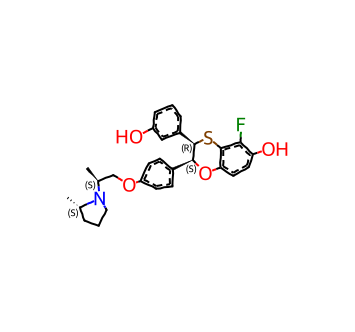 C[C@H]1CCCN1[C@@H](C)COc1ccc([C@@H]2Oc3ccc(O)c(F)c3S[C@@H]2c2cccc(O)c2)cc1